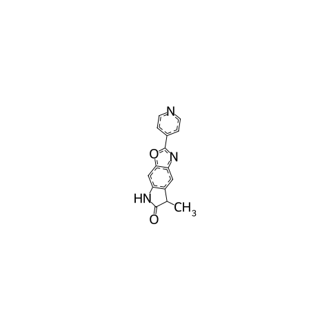 CC1C(=O)Nc2cc3oc(-c4ccncc4)nc3cc21